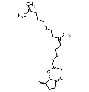 CN(C)CCCOCCN(C)CCCOC(=O)ON1C(=O)CCC1=O